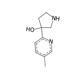 Cc1ccc(C2(O)CCNC2)nc1